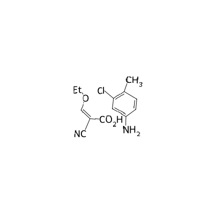 CCOC=C(C#N)C(=O)O.Cc1ccc(N)cc1Cl